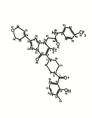 CCc1c(N2CCN(C(=O)c3ncnc(C)c3O)CC2)c(=O)n2nc(C3=CCOCC3)nc2n1CC(=O)Nc1ccc(C(F)(F)F)cc1